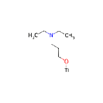 CCN(CC)CCC[O][Ti]